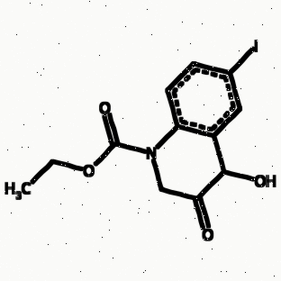 CCOC(=O)N1CC(=O)C(O)c2cc(I)ccc21